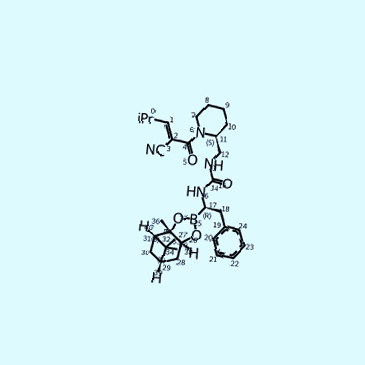 CC(C)C=C(C#N)C(=O)N1CCCC[C@H]1CNC(=O)N[C@@H](Cc1ccccc1)B1O[C@@H]2C[C@@H]3C[C@@H](C3(C)C)[C@]2(C)O1